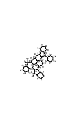 CC1(C)c2ccccc2-c2c1c1c3c(cc4cc5c6ccccc6n(-c6ccccc6)c5c5ccc2c3c45)C(C)(C)c2ccccc2-1